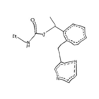 CCNC(=O)OC(C)c1ccccc1Cc1cnccn1